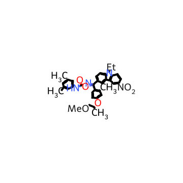 CCn1c2ccc(/C(=N/OC(=O)Nc3cc(C)cc(C)c3)c3ccc(OC(C)COC)cc3C)cc2c2cc([N+](=O)[O-])ccc21